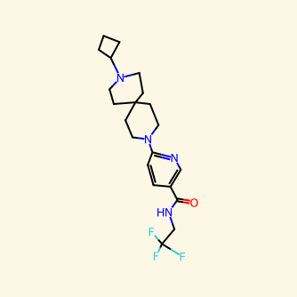 O=C(NCC(F)(F)F)c1ccc(N2CCC3(CC2)CCN(C2CCC2)CC3)nc1